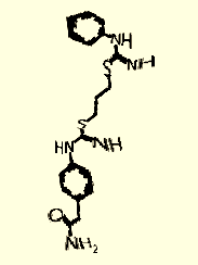 N=C(Nc1ccccc1)SCCCSC(=N)Nc1ccc(CC(N)=O)cc1